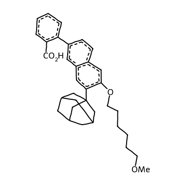 COCCCCCCOc1cc2ccc(-c3ccccc3C(=O)O)cc2cc1C12CC3CC(CC(C3)C1)C2